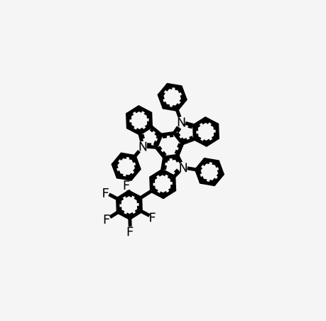 Fc1c(F)c(F)c(-c2ccc3c(c2)c2c4c(c5ccccc5n4-c4ccccc4)c4c(c5ccccc5n4-c4ccccc4)c2n3-c2ccccc2)c(F)c1F